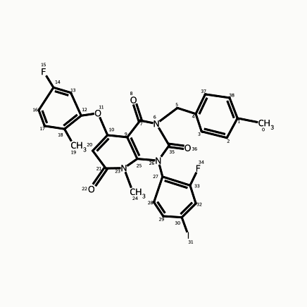 Cc1ccc(Cn2c(=O)c3c(Oc4cc(F)ccc4C)cc(=O)n(C)c3n(-c3ccc(I)cc3F)c2=O)cc1